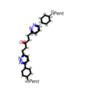 CCCCCC1CCC(c2ccc(CCC(=O)CCc3ccc([C@H]4CC[C@H](CCCCC)CC4)nn3)nn2)CC1